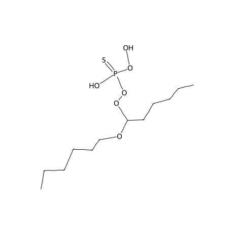 CCCCCCOC(CCCCC)OOP(O)(=S)OO